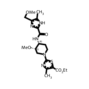 CCOC(=O)c1sc(N2CC[C@@H](NC(=O)c3nc(COC)c(C)[nH]3)[C@@H](OC)C2)nc1C